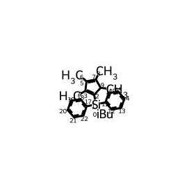 CCC(C)[Si](C1=C(C)C(C)=C(C)C1C)(c1ccccc1)c1ccccc1